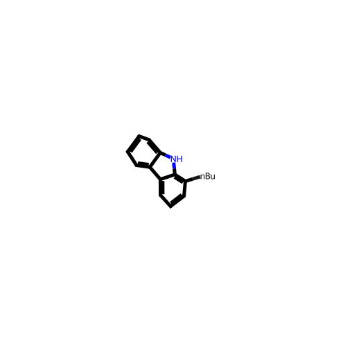 CCCCc1cccc2c1[nH]c1ccccc12